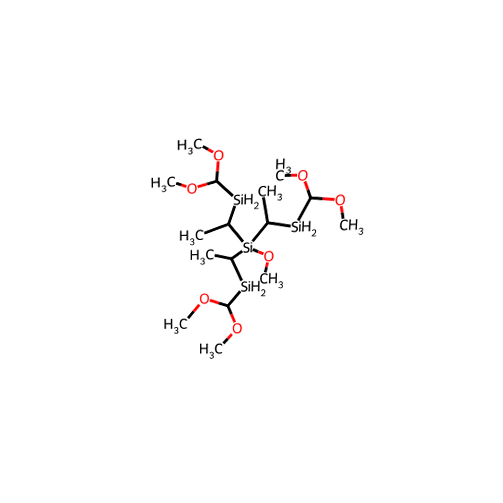 COC(OC)[SiH2]C(C)[Si](OC)(C(C)[SiH2]C(OC)OC)C(C)[SiH2]C(OC)OC